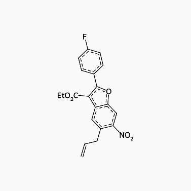 C=CCc1cc2c(C(=O)OCC)c(-c3ccc(F)cc3)oc2cc1[N+](=O)[O-]